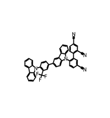 N#Cc1ccc(-c2cc(C#N)ccc2-n2c3ccccc3c3cc(-c4ccc(-n5c6ccccc6c6ccccc65)c(C(F)(F)F)c4)ccc32)c(C#N)c1